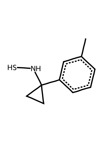 Cc1cccc(C2(NS)CC2)c1